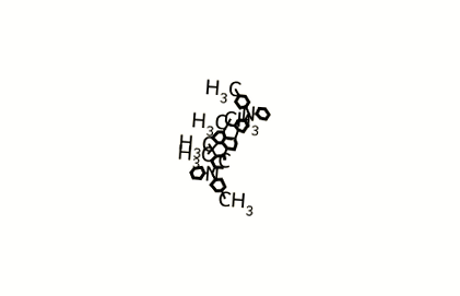 Cc1ccc(N(c2ccccc2)c2ccc3c(c2)C(C)(C)c2ccc4c5c(ccc-3c25)-c2ccc(N(c3ccccc3)c3ccc(C)cc3)cc2C4(C)C)cc1